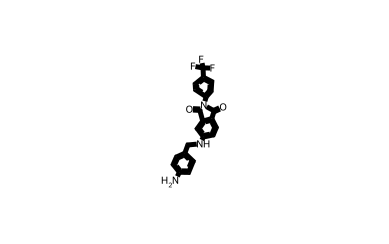 Nc1ccc(CNc2ccc3c(c2)C(=O)N(c2ccc(C(F)(F)F)cc2)C3=O)cc1